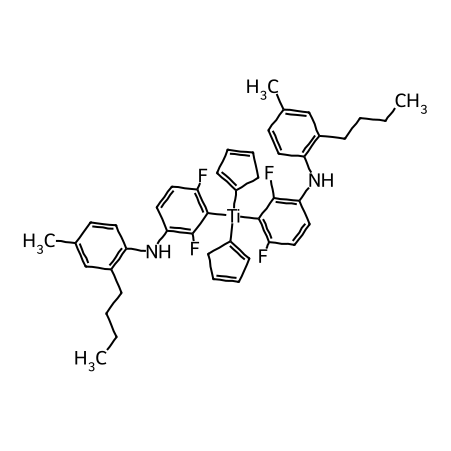 CCCCc1cc(C)ccc1Nc1ccc(F)[c]([Ti]([C]2=CC=CC2)([C]2=CC=CC2)[c]2c(F)ccc(Nc3ccc(C)cc3CCCC)c2F)c1F